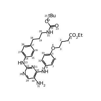 CCOC(=O)CCCOc1ccc(Nc2nc(Nc3ccc(CCCNC(=O)OC(C)(C)C)cc3)ncc2N)cc1